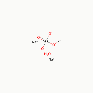 CO[As](=O)([O-])[O-].O.[Na+].[Na+]